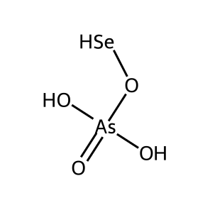 O=[As](O)(O)O[SeH]